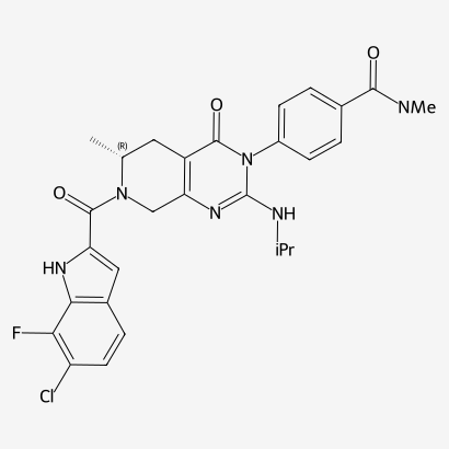 CNC(=O)c1ccc(-n2c(NC(C)C)nc3c(c2=O)C[C@@H](C)N(C(=O)c2cc4ccc(Cl)c(F)c4[nH]2)C3)cc1